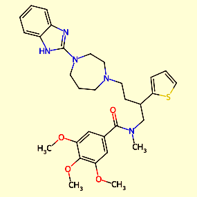 COc1cc(C(=O)N(C)CC(CCN2CCCN(c3nc4ccccc4[nH]3)CC2)c2cccs2)cc(OC)c1OC